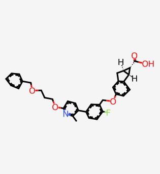 Cc1nc(OCCCOCc2ccccc2)ccc1-c1ccc(F)c(COc2ccc3c(c2)C[C@H]2[C@H](C(=O)O)[C@@H]32)c1